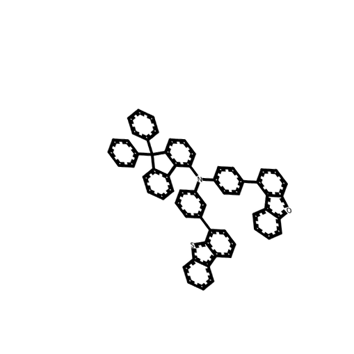 c1ccc(C2(c3ccccc3)c3ccccc3-c3c(N(c4ccc(-c5cccc6oc7ccccc7c56)cc4)c4cccc(-c5cccc6c5sc5ccccc56)c4)cccc32)cc1